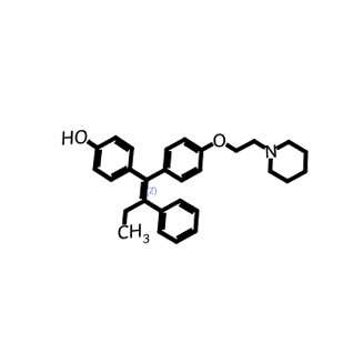 CC/C(=C(\c1ccc(O)cc1)c1ccc(OCCN2CCCCC2)cc1)c1ccccc1